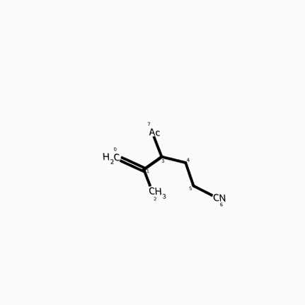 C=C(C)C(CCC#N)C(C)=O